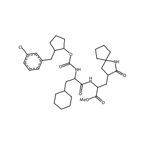 COC(=O)C(CC1CC2(CCCC2)NC1=O)NC(=O)C(CC1CCCCC1)NC(=O)OC1CCCC1Cc1cccc(Cl)c1